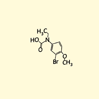 CCN(C(=O)O)c1ccc(OC)c(Br)c1